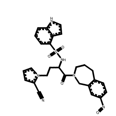 N#Cc1cccn1CCC(NS(=O)(=O)c1cccc2[nH]ccc12)C(=O)N1CCCc2ccc(N=O)cc2C1